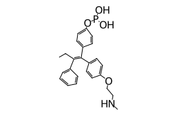 CC/C(=C(/c1ccc(OCCNC)cc1)c1ccc(OP(O)O)cc1)c1ccccc1